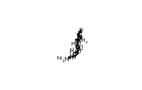 Cn1c(-c2cn(CC3CC(F)(F)C3)nc2C(F)(F)F)cnc1C(=O)Nc1ccc(C(=O)N2CCN(C(=O)N[C@H]3C[C@@H](N)C3)CC2)c(Cl)c1